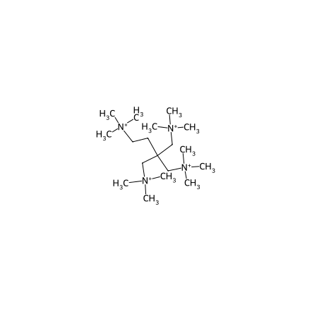 C[N+](C)(C)CCC(C[N+](C)(C)C)(C[N+](C)(C)C)C[N+](C)(C)C